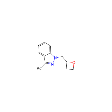 CC(=O)c1nn(CC2CCO2)c2ccccc12